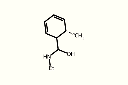 CCNC(O)C1C=CC=C[C@@H]1C